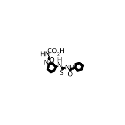 O=C(O)Nc1nc2cccc(NC(=S)NC(=O)c3ccccc3)c2o1